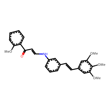 COc1ccccc1C(=O)C=CNc1cccc(C=Cc2cc(OC)c(OC)c(OC)c2)c1